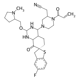 C=CC(=O)N1CCN(C2NC(OCC3CCCN3C)NC3C(=O)[C@]4(CCC32)Cc2cc(F)ccc2S4)CC1CC#N